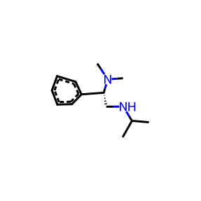 CC(C)NC[C@H](c1ccccc1)N(C)C